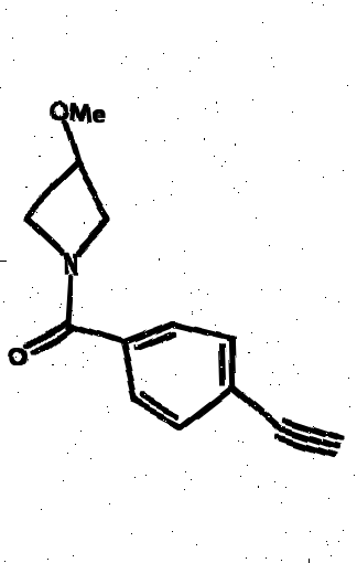 C#Cc1ccc(C(=O)N2CC(OC)C2)cc1